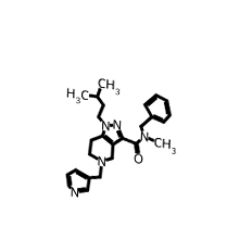 CC(C)CCn1nc(C(=O)N(C)Cc2ccccc2)c2c1CCN(Cc1cccnc1)C2